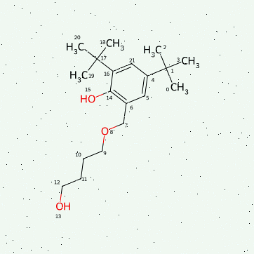 CC(C)(C)c1cc(COCCCCO)c(O)c(C(C)(C)C)c1